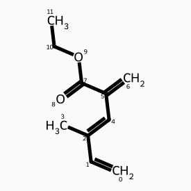 C=CC(C)=CC(=C)C(=O)OCC